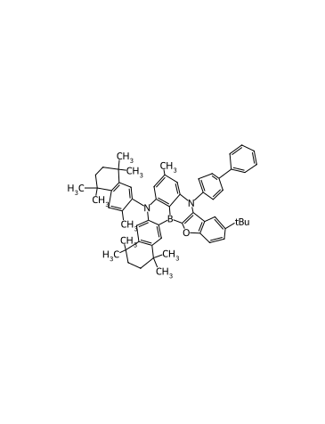 Cc1cc2c3c(c1)N(c1ccc(-c4ccccc4)cc1)c1c(oc4ccc(C(C)(C)C)cc14)B3c1cc3c(cc1N2c1cc2c(cc1C)C(C)(C)CCC2(C)C)C(C)(C)CCC3(C)C